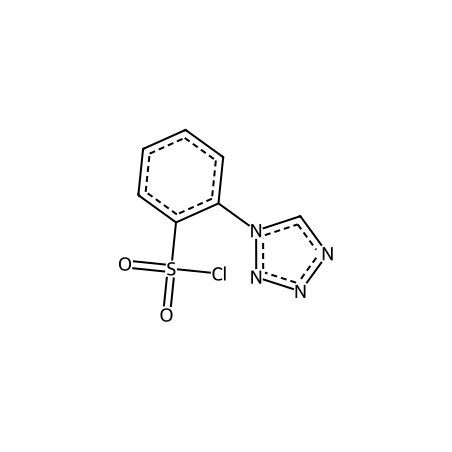 O=S(=O)(Cl)c1ccccc1-n1cnnn1